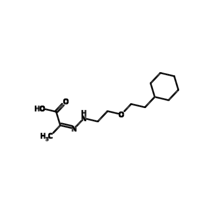 CC(=NNCCOCCC1CCCCC1)C(=O)O